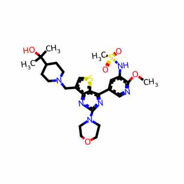 COc1ncc(-c2nc(N3CCOCC3)nc3c(CN4CCC(C(C)(C)O)CC4)csc23)cc1NS(C)(=O)=O